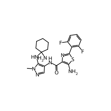 Cn1ncc(NC(=O)c2nc(-c3c(F)cccc3F)sc2N)c1NC1(N)CCCCC1